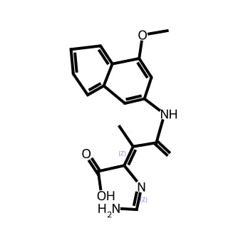 C=C(Nc1cc(OC)c2ccccc2c1)/C(C)=C(\N=C/N)C(=O)O